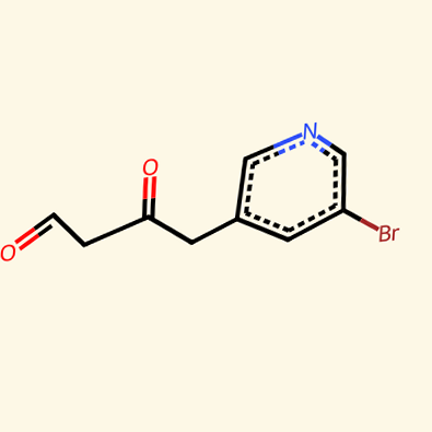 O=CCC(=O)Cc1cncc(Br)c1